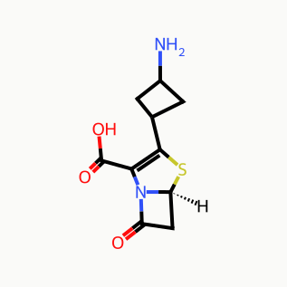 NC1CC(C2=C(C(=O)O)N3C(=O)C[C@@H]3S2)C1